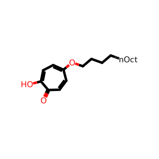 CCCCCCCCCCCCOc1ccc(O)c(=O)cc1